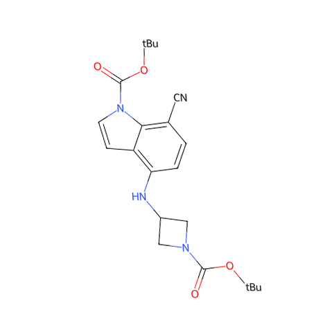 CC(C)(C)OC(=O)N1CC(Nc2ccc(C#N)c3c2ccn3C(=O)OC(C)(C)C)C1